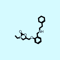 CCN1CC(COc2ccccc2CNCCC2=CCCCC2)OC1=O